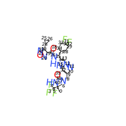 CC1(C(F)(F)F)CN(Cc2cnn3cc(C(NC(=O)c4nonc4C4CC4)C4CCC(F)(F)CC4)nc3c2)C(=O)N1